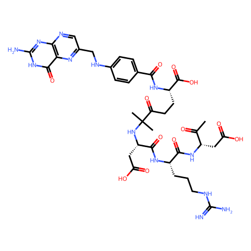 CC(=O)[C@H](CC(=O)O)NC(=O)[C@H](CCCNC(=N)N)NC(=O)[C@H](CC(=O)O)NC(C)(C)C(=O)CC[C@H](NC(=O)c1ccc(NCc2cnc3nc(N)[nH]c(=O)c3n2)cc1)C(=O)O